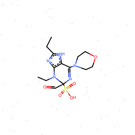 CCc1nc2c([nH]1)C(N1CCOCC1)=NC(C=O)(S(=O)(=O)O)N2CC